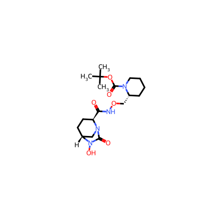 CC(C)(C)OC(=O)N1CCCC[C@@H]1CONC(=O)[C@@H]1CC[C@@H]2CN1C(=O)N2O